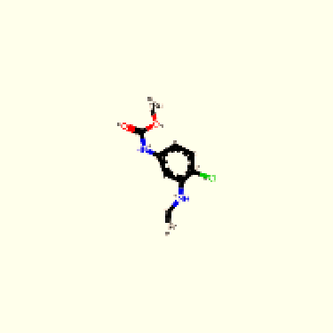 CC(C)CNc1cc(NC(=O)OC(C)(C)C)ccc1Cl